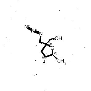 C[C@@H]1O[C@@](CO)(CN=[N+]=[N-])C[C@H]1F